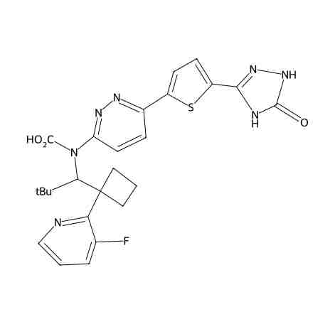 CC(C)(C)C(N(C(=O)O)c1ccc(-c2ccc(-c3n[nH]c(=O)[nH]3)s2)nn1)C1(c2ncccc2F)CCC1